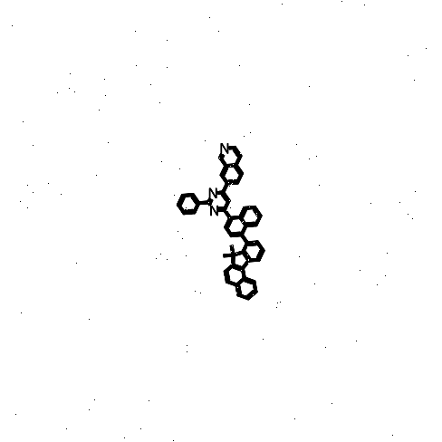 CC1(C)c2ccc3ccccc3c2-c2cccc(-c3ccc(-c4cc(-c5ccc6ccncc6c5)nc(-c5ccccc5)n4)c4ccccc34)c21